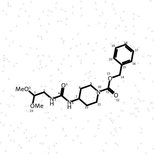 COC(CNC(=O)NC1CCN(C(=O)OCc2ccccc2)CC1)OC